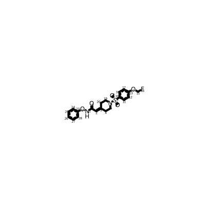 O=C(C=C1CCN(S(=O)(=O)c2ccc(OCF)cc2)CC1)NOc1ccccc1